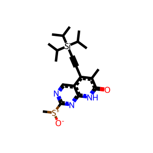 Cc1c(C#C[Si](C(C)C)(C(C)C)C(C)C)c2cnc([S+](C)[O-])nc2[nH]c1=O